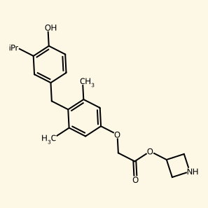 Cc1cc(OCC(=O)OC2CNC2)cc(C)c1Cc1ccc(O)c(C(C)C)c1